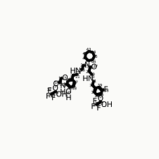 O=C(O)C(F)(F)F.O=C(O)C(F)(F)F.O=C1COc2c(CCNCCN(C(=O)CCNCCc3cccc(F)c3)C3CCCCCC3)ccc(O)c2N1